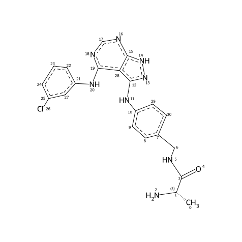 C[C@H](N)C(=O)NCc1ccc(Nc2n[nH]c3ncnc(Nc4cccc(Cl)c4)c23)cc1